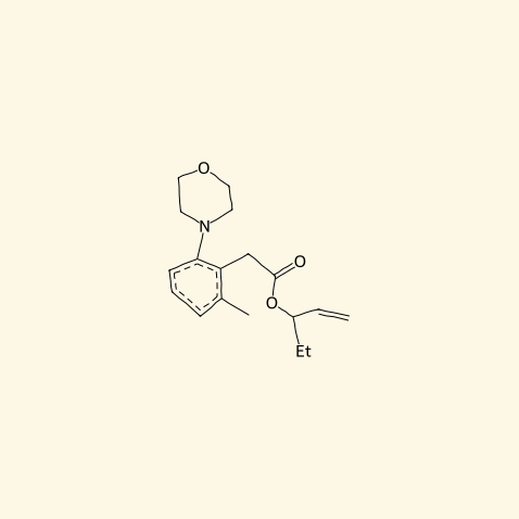 C=CC(CC)OC(=O)Cc1c(C)cccc1N1CCOCC1